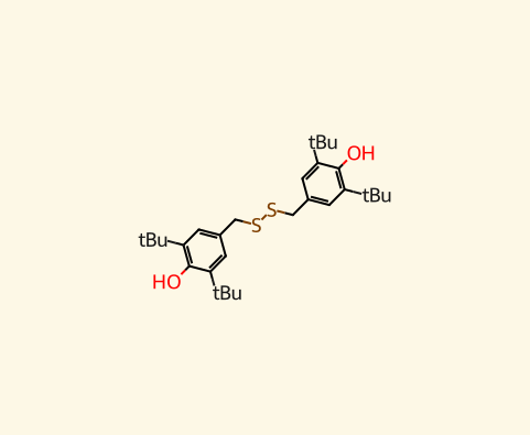 CC(C)(C)c1cc(CSSCc2cc(C(C)(C)C)c(O)c(C(C)(C)C)c2)cc(C(C)(C)C)c1O